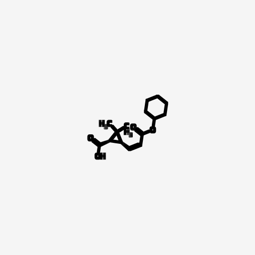 CC1(C)[C@H](C(=O)O)[C@@H]1/C=C\C(=O)OC1CCCCC1